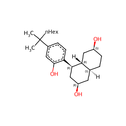 CCCCCCC(C)(C)c1ccc([C@@H]2C[C@H](O)C[C@@H]3CC[C@H](O)C[C@H]32)c(O)c1